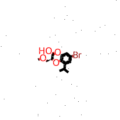 COC[C@H](Oc1ccc(Br)cc1C(C)C)C(=O)O